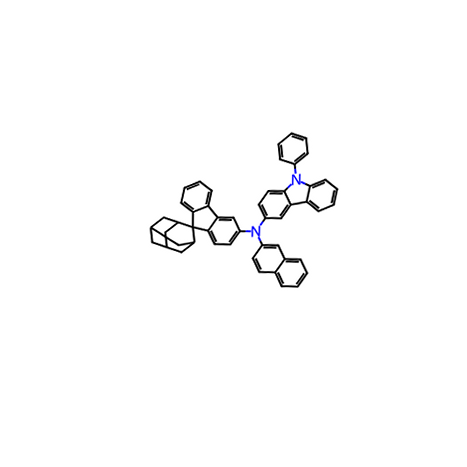 c1ccc(-n2c3ccccc3c3cc(N(c4ccc5c(c4)-c4ccccc4C54C5CC6CC(C5)CC4C6)c4ccc5ccccc5c4)ccc32)cc1